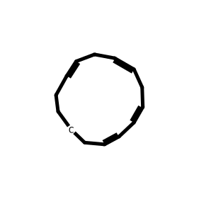 [C]1=CCC=CCC=CC=CCCCC1